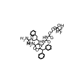 CCOC(=O)NC(=O)NCN(C(=O)C(c1ccccc1)c1ccccc1)[C@H](CC(CNC(=N)N)Cc1ccccc1)C(N)=O.O=C(O)C(F)(F)F